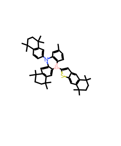 Cc1ccc2c(c1)N(c1ccc3c(c1)C(C)(C)CCC3(C)C)c1cc3c(cc1B2c1cc2cc4c(cc2s1)C(C)(C)CCC4(C)C)C(C)(C)CCC3(C)C